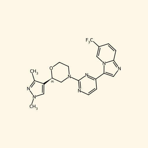 Cc1nn(C)cc1[C@@H]1CN(c2nccc(-c3cnc4ccc(C(F)(F)F)cn34)n2)CCO1